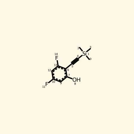 C[Si](C)(C)C#Cc1c(O)cc(F)cc1F